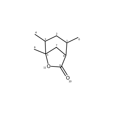 CC1CC(C)C2(C)CC1C(=O)O2